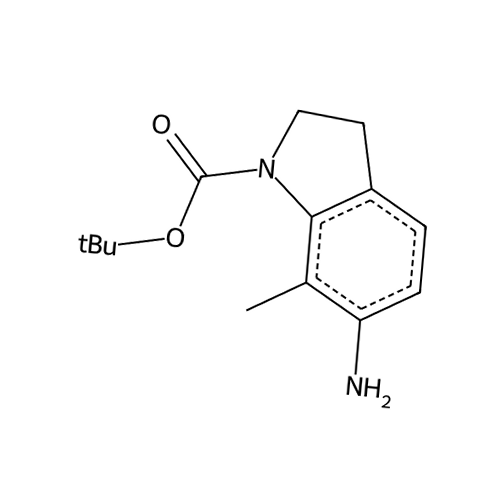 Cc1c(N)ccc2c1N(C(=O)OC(C)(C)C)CC2